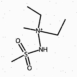 CC[N+](C)(CC)NS(C)(=O)=O